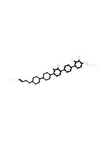 C/C=C/CCC1CCC(C2CCC(c3ccc(-c4ccc(-c5ccc(OCCCCCC)c(F)c5F)cc4)c(F)c3F)CC2)CC1